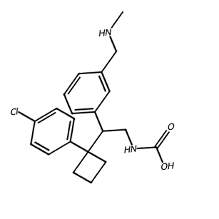 CNCc1cccc(C(CNC(=O)O)C2(c3ccc(Cl)cc3)CCC2)c1